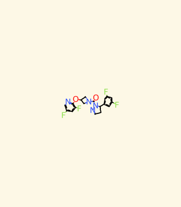 O=C(N1CC(Oc2ncc(F)cc2F)C1)N1N=CCC1c1cc(F)cc(F)c1